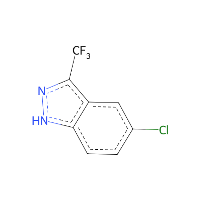 FC(F)(F)c1n[nH]c2ccc(Cl)cc12